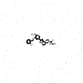 CC(C)NC(=O)N1CC[C@@]2(CCn3nc(-c4cnc(N)c(OCc5ccccc5Cl)c4)cc32)C1